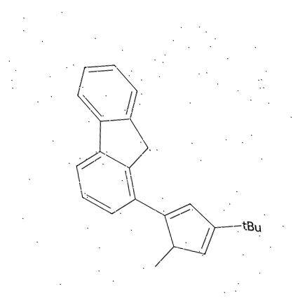 CC1C=C(C(C)(C)C)C=C1c1cccc2c1Cc1ccccc1-2